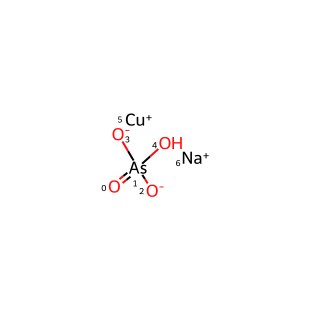 O=[As]([O-])([O-])O.[Cu+].[Na+]